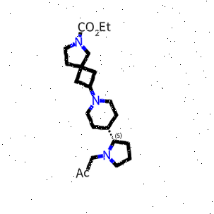 CCOC(=O)N1CCC2(CC(N3CCC([C@@H]4CCCN4CC(C)=O)CC3)C2)C1